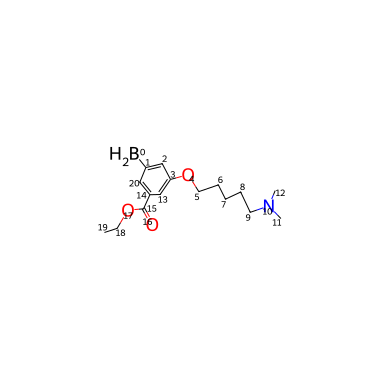 Bc1cc(OCCCCCN(C)C)cc(C(=O)OCC)c1